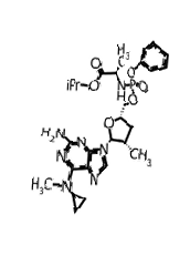 CC(C)OC(=O)[C@@H](C)NP(=O)(OC[C@@H]1C[C@H](C)[C@H](n2cnc3c(N(C)C4CC4)nc(N)nc32)O1)Oc1ccccc1